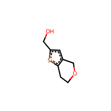 OCc1cc2c(s1)CCOC2